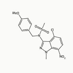 COc1ccc(CN(c2nn(C)c3c([N+](=O)[O-])ccc(Cl)c23)S(C)(=O)=O)cc1